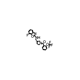 O=C(c1ccccc1OC(F)(F)F)N1CC[C@@H](CNc2nc3cccc(F)c3o2)C1